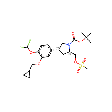 CC(C)(C)OC(=O)N1C[C@@H](c2ccc(OC(F)F)c(OCC3CC3)c2)C[C@@H]1COS(C)(=O)=O